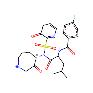 CC(C)CC(NC(=O)c1ccc(F)cc1)C(=O)N([C@H]1CCCNCC1=O)S(=O)(=O)C1=NC=CCC1=O